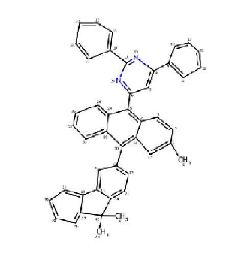 Cc1ccc2c(-c3cc(-c4ccccc4)nc(-c4ccccc4)n3)c3ccccc3c(-c3ccc4c(c3)-c3ccccc3C4(C)C)c2c1